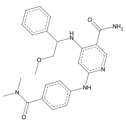 COCC(Nc1cc(Nc2ccc(C(=O)N(C)C)cc2)ncc1C(N)=O)c1ccccc1